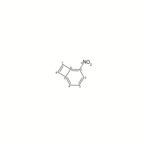 O=[N+]([O-])c1cccc2c1C=C2